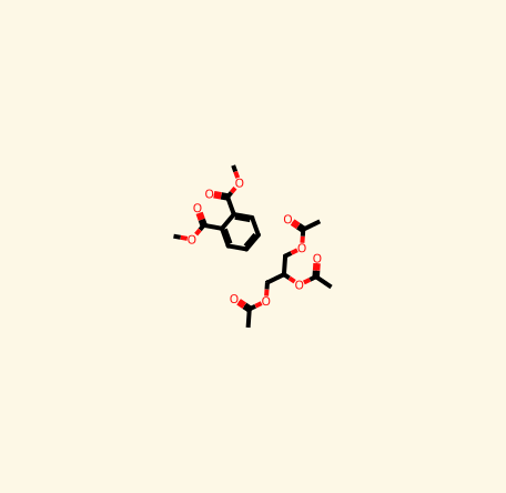 CC(=O)OCC(COC(C)=O)OC(C)=O.COC(=O)c1ccccc1C(=O)OC